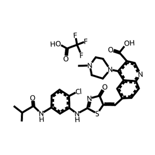 CC(C)C(=O)Nc1ccc(Cl)c(NC2=NC(=O)C(=Cc3ccc4ncc(C(=O)O)c(N5CCN(C)CC5)c4c3)S2)c1.O=C(O)C(F)(F)F